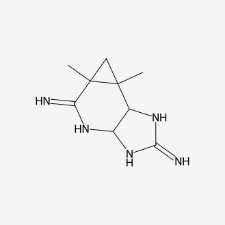 CC12CC1(C)C1NC(=N)NC1NC2=N